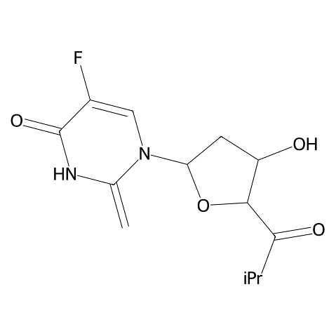 C=C1NC(=O)C(F)=CN1C1CC(O)C(C(=O)C(C)C)O1